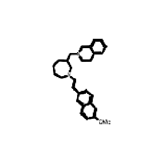 COc1ccc2cc(CCN3CCCCC(CN4CCc5ccccc5C4)C3)ccc2c1